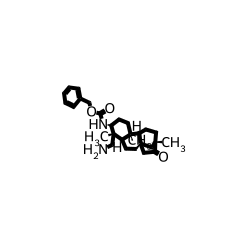 C[C@@]12CC[C@@H]3[C@@](CC[C@@H]4[C@](C)(CN)[C@H](NC(=O)OCc5ccccc5)CC[C@]43C)(CC1=O)C2